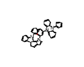 c1ccc(N2c3ccccc3N(c3cccc(-n4ccc5ccc6c7ccccc7n(-c7ccccc7)c6c54)c3)c3ccccc32)cc1